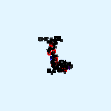 C=C1C[C@H](C[C@@H]2CCO[C@H](c3coc(/C=C/C[C@@H](C)[C@H](C)[C@H](O)[C@@H](C)[C@@H](O)/C(C)=C/I)n3)O2)O[C@@H](CC=O)C1